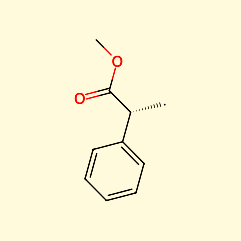 [CH2][C@@H](C(=O)OC)c1ccccc1